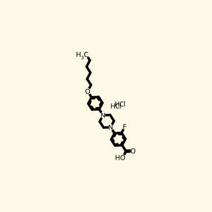 CCCCCCOc1ccc(N2CCN(c3ccc(C(=O)O)cc3F)CC2)cc1.Cl.Cl